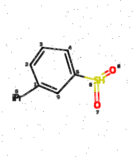 CC(C)c1cccc([SH](=O)=O)c1